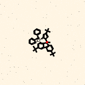 CCC1C=C(C(C)(C)C)C=[C]1[Zr](=[C](c1ccccc1)c1ccccc1)[c]1cc(C(C)(C)C)cc2c1Cc1ccc(C(C)(C)C)cc1-2